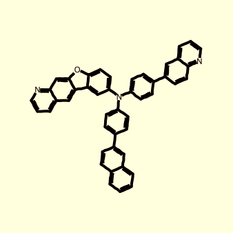 c1ccc2cc(-c3ccc(N(c4ccc(-c5ccc6ncccc6c5)cc4)c4ccc5oc6cc7ncccc7cc6c5c4)cc3)ccc2c1